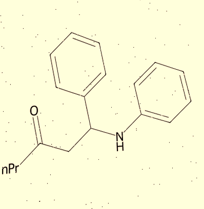 CCCC(=O)CC(Nc1ccccc1)c1ccccc1